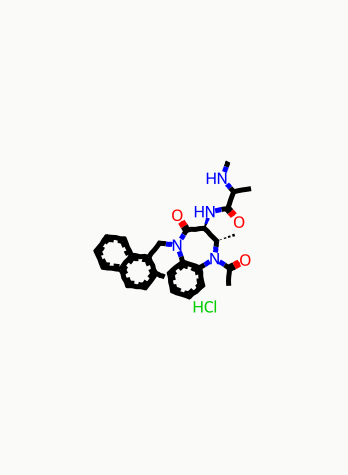 CNC(C)C(=O)N[C@@H]1C(=O)N(Cc2c(C)ccc3ccccc23)c2ccccc2N(C(C)=O)[C@H]1C.Cl